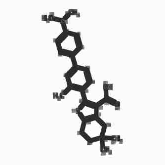 Cc1cc(-c2ccc(N(C)C)cc2)ccc1-c1sc2c(c1C(=O)O)CC(C)(C)CC2